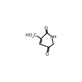 O=C1C=C(C(=O)O)C(=O)NC1